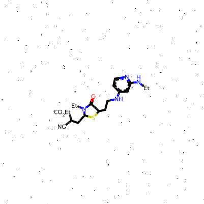 CCNc1cc(NCCC2SC(CC(C#N)C(=O)OCC)N(CC)C2=O)ccn1